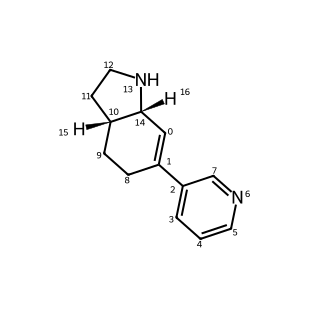 C1=C(c2cccnc2)CC[C@@H]2CCN[C@H]12